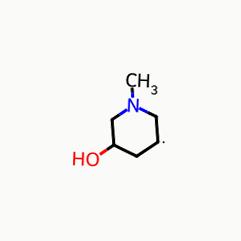 CN1C[CH]CC(O)C1